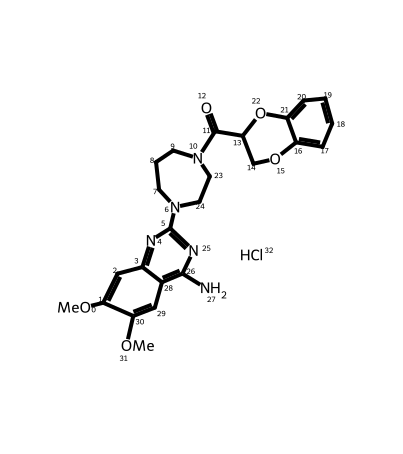 COc1cc2nc(N3CCCN(C(=O)C4COc5ccccc5O4)CC3)nc(N)c2cc1OC.Cl